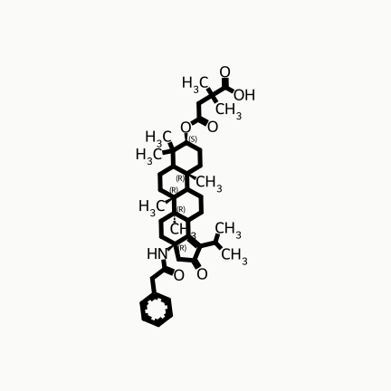 CC(C)C1=C2C3CCC4[C@@]5(C)CC[C@H](OC(=O)CC(C)(C)C(=O)O)C(C)(C)C5CC[C@@]4(C)[C@]3(C)CC[C@@]2(NC(=O)Cc2ccccc2)CC1=O